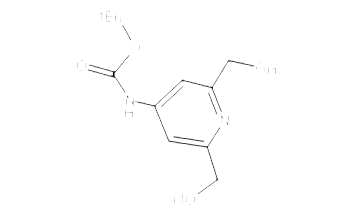 CC(C)(C)OC(=O)Nc1cc(CO)nc(CO)c1